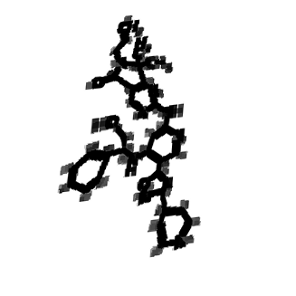 C=CCN1C(=O)c2cnc(Nc3cc(N[C@H](CO)c4ccccc4)c(-c4nc(-c5ccncc5)no4)cn3)nc2C1(C)C